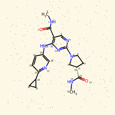 CNC(=O)c1cnc(N2CC[C@H](C(=O)NC)C2)nc1Nc1ccc(C2CC2)nc1